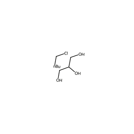 CCCCCCl.OCC(O)CO